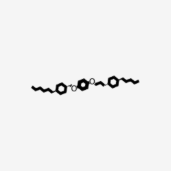 CCCCCC[C@H]1CC[C@H](COc2ccc(OCCC[C@H]3CC[C@H](CCCCC)CC3)cc2)CC1